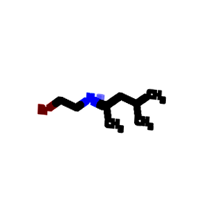 C/C(CC(C)C)=N\CCBr